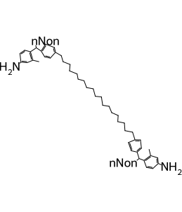 CCCCCCCCCC(c1ccc(CCCCCCCCCCCCCCCCCCCc2ccc(C(CCCCCCCCC)c3ccc(N)cc3C)cc2)cc1)c1ccc(N)cc1C